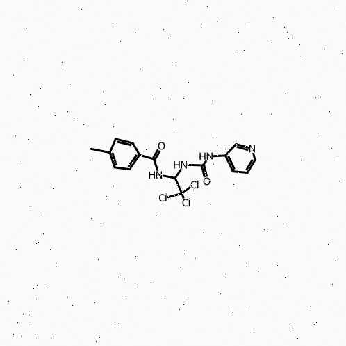 Cc1ccc(C(=O)NC(NC(=O)Nc2cccnc2)C(Cl)(Cl)Cl)cc1